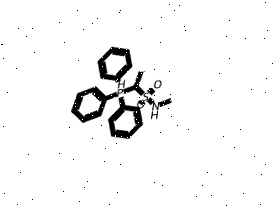 [CH2]C([PH](c1ccccc1)(c1ccccc1)c1ccccc1)S(=O)(=O)NC